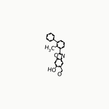 Cc1c(-c2ccccc2)cccc1-c1nc2cc(C=O)c(O)cc2o1